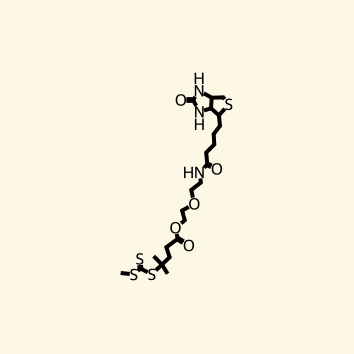 CSC(=S)SC(C)(C)CCC(=O)OCCOCCNC(=O)CCCCC1SCC2NC(=O)NC21